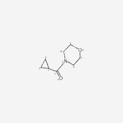 O=C(C1CC1)N1C[CH]OCC1